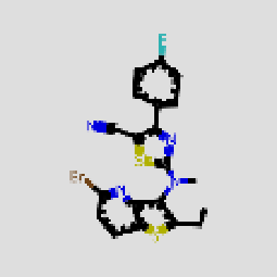 CCc1sc2ccc(Br)nc2c1N(C)c1nc(-c2ccc(F)cc2)c(C#N)s1